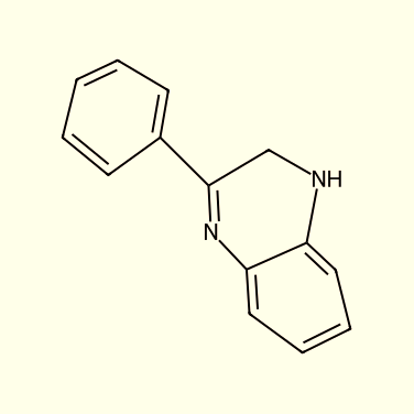 c1ccc(C2=Nc3ccccc3NC2)cc1